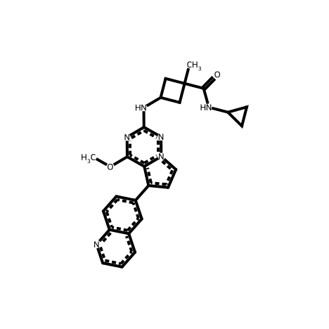 COc1nc(NC2CC(C)(C(=O)NC3CC3)C2)nn2ccc(-c3ccc4ncccc4c3)c12